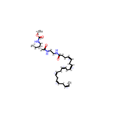 CC/C=C\C/C=C\C/C=C\C/C=C\C/C=C\C/C=C\CCC(=O)NCCNC(=O)C[C@@H](CNC(=O)OC(C)(C)C)CC(C)C